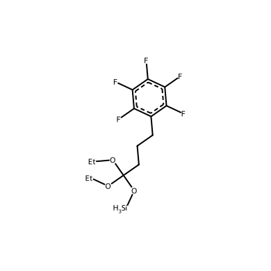 CCOC(CCCc1c(F)c(F)c(F)c(F)c1F)(O[SiH3])OCC